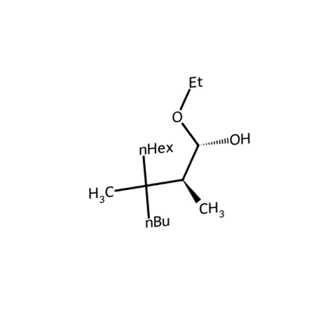 CCCCCCC(C)(CCCC)[C@H](C)[C@@H](O)OCC